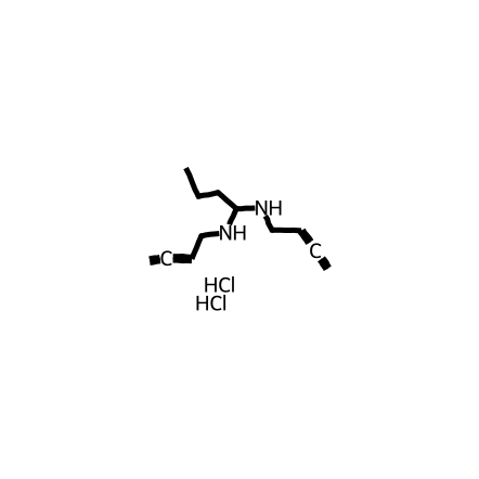 C=C=CCNC(CCC)NCC=C=C.Cl.Cl